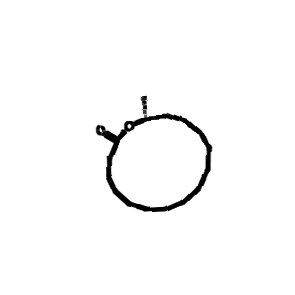 C[C@@H]1CCCCCCCCCCCCCC(=O)O1